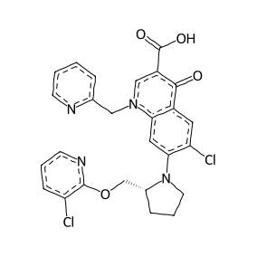 O=C(O)c1cn(Cc2ccccn2)c2cc(N3CCC[C@@H]3COc3ncccc3Cl)c(Cl)cc2c1=O